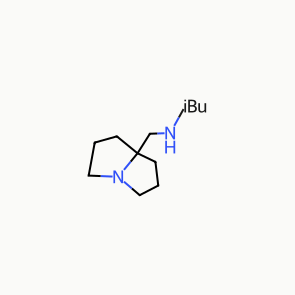 CCC(C)NCC12CCCN1CCC2